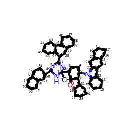 CC1(c2ccc(-n3c4ccccc4c4cc5ccccc5cc43)c3c2oc2ccccc23)N=C(c2cc3ccccc3c3ccccc23)N=C(c2ccc3ccccc3c2)N1